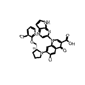 O=C(O)c1cn(-c2cnc3cc[nH]c3n2)c2cc(N3CCC[C@@H]3COc3ncccc3Cl)c(Cl)cc2c1=O